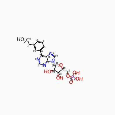 O=C(O)Cc1cccc(-c2ncnc3c2ncn3[C@@H]2O[C@H](COP(=O)(O)O)[C@@H](O)[C@H]2O)c1